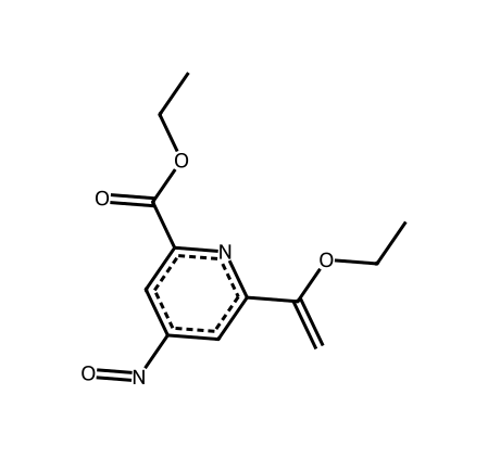 C=C(OCC)c1cc(N=O)cc(C(=O)OCC)n1